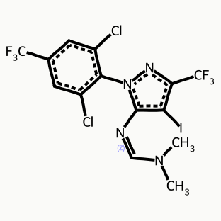 CN(C)/C=N\c1c(I)c(C(F)(F)F)nn1-c1c(Cl)cc(C(F)(F)F)cc1Cl